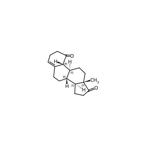 C[C@]12CC[C@@H]3[C@H]4C(=O)CCC=C4CC[C@H]3[C@@H]1CCC2=O